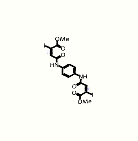 COC(=O)/C(I)=C\C(=O)Nc1ccc(NC(=O)/C=C(/I)C(=O)OC)cc1